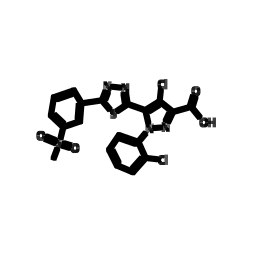 CS(=O)(=O)c1cccc(-c2nnc(-c3c(Cl)c(C(=O)O)nn3-c3ccccc3Cl)s2)c1